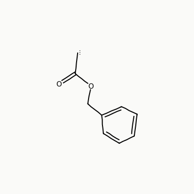 [C]C(=O)OCc1ccccc1